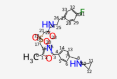 Cc1oc(-c2ccc(CNC3CC3)cc2)nc1CS(=O)(=O)CC(=O)NCCc1ccc(F)cc1